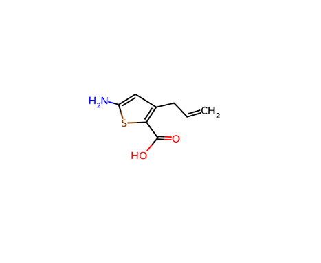 C=CCc1cc(N)sc1C(=O)O